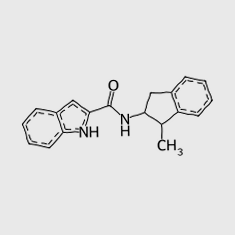 CC1c2ccccc2CC1NC(=O)c1cc2ccccc2[nH]1